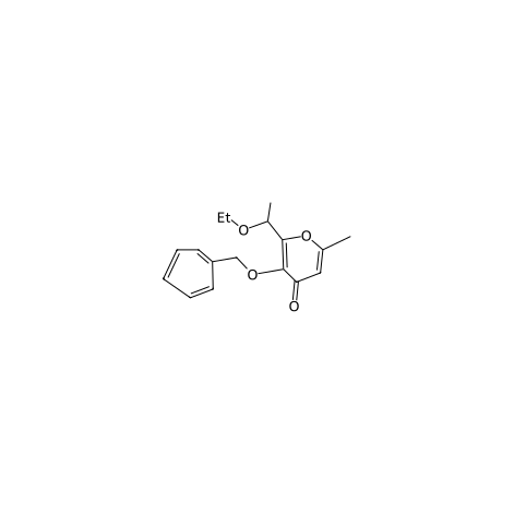 CCOC(C)c1oc(C)cc(=O)c1OCc1ccccc1